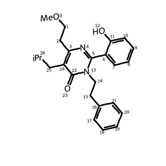 COCCc1nc(-c2ccccc2O)n(CCc2ccccc2)c(=O)c1CC(C)C